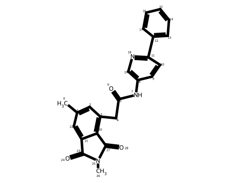 Cc1cc(CC(=O)Nc2ccc(-c3ccccc3)nc2)c2c(c1)C(=O)N(C)C2=O